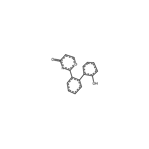 O=c1ccoc(-c2ccccc2-c2ccccc2O)n1